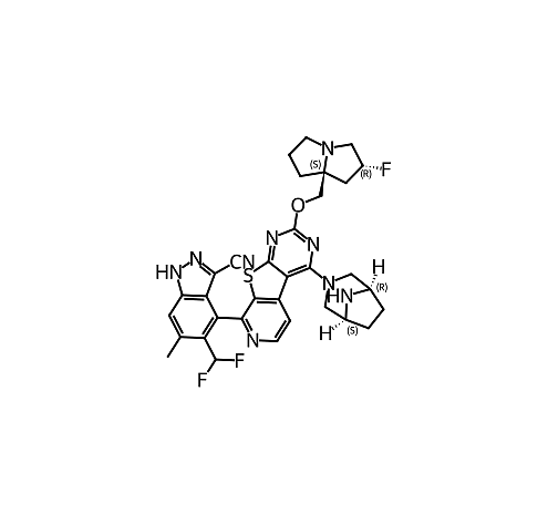 Cc1cc2[nH]nc(C#N)c2c(-c2nccc3c2sc2nc(OC[C@@]45CCCN4C[C@H](F)C5)nc(N4C[C@H]5CC[C@@H](C4)N5)c23)c1C(F)F